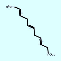 [CH2]CCCC/C=C/C/C=C/C/C=C/CCCCCCCCC